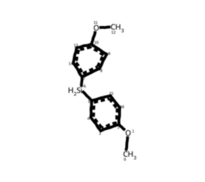 COc1ccc([SiH2]c2ccc(OC)cc2)cc1